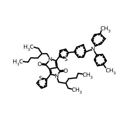 CCCCC(CC)CN1C(=O)C2=C(c3ccc(-c4ccc(N(c5ccc(C)cc5)c5ccc(C)cc5)cc4)s3)N(CC(CC)CCCC)C(=O)C2=C1c1cccs1